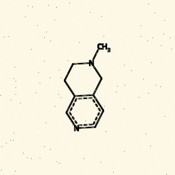 CN1CCc2cnccc2C1